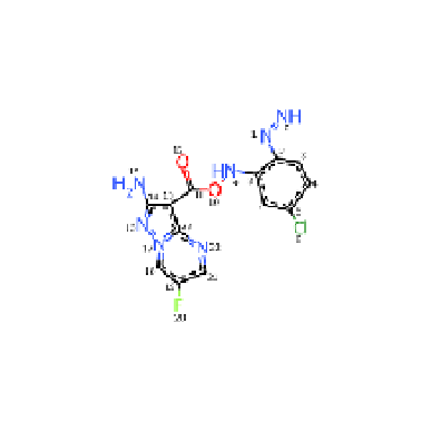 N=Nc1ccc(Cl)cc1NOC(=O)c1c(N)nn2cc(F)cnc12